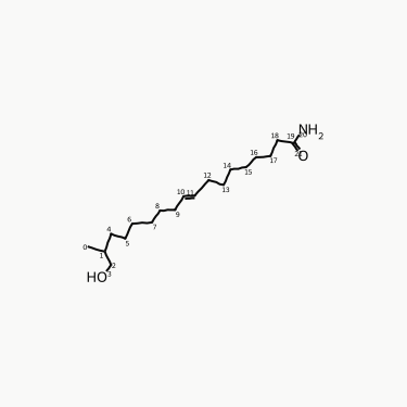 CC(CO)CCCCCC/C=C/CCCCCCCC(N)=O